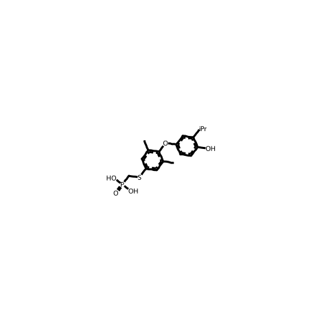 Cc1cc(SCP(=O)(O)O)cc(C)c1Oc1ccc(O)c(C(C)C)c1